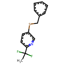 CC(F)(F)c1ccc(SCc2ccccc2)cn1